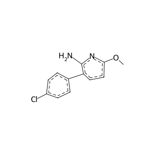 COc1ccc(-c2ccc(Cl)cc2)c(N)n1